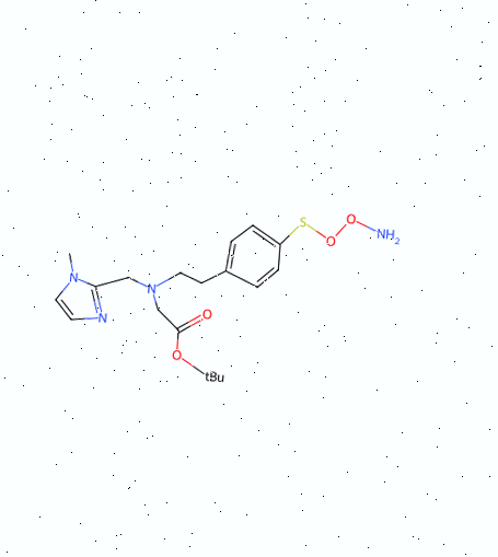 Cn1ccnc1CN(CCc1ccc(SOON)cc1)CC(=O)OC(C)(C)C